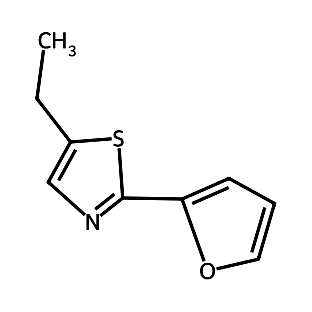 CCc1cnc(-c2ccco2)s1